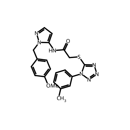 COc1ccc(Cn2nccc2NC(=O)CSc2nnnn2-c2cccc(C)c2)cc1